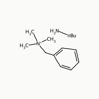 CCCCN.C[N+](C)(C)Cc1ccccc1